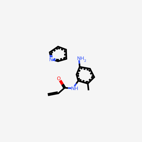 C=CC(=O)Nc1cc(N)ccc1C.c1ccncc1